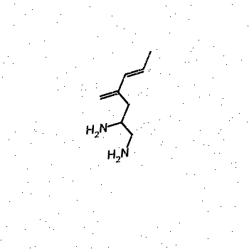 C=C(/C=C/C)CC(N)CN